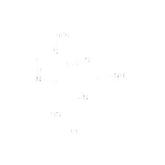 CCCCn1cnc2c(NCC)nc(N)nc21